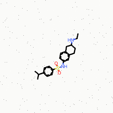 CCNC1CCc2cc(NS(=O)(=O)c3ccc(C(C)C)cc3)ccc2C1